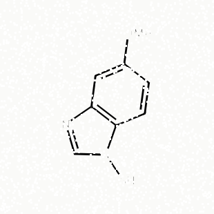 COc1ccc2c(c1)ncn2S